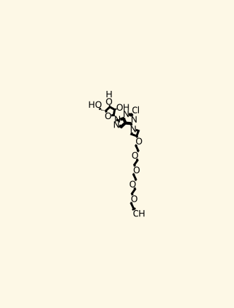 C#CCOCCOCCOCCOCCOC1CN(c2nc(Cl)nc3c2cnn3[C@@H]2O[C@H](CO)[C@@H](O)[C@H]2O)C1